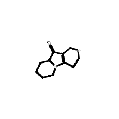 O=C1C2=C(CCNC2)N2CCCCC12